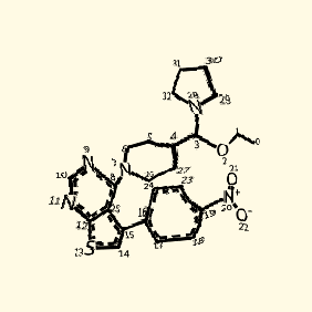 CCOC(C1CCN(c2ncnc3scc(-c4ccc([N+](=O)[O-])cc4)c23)CC1)N1CCCC1